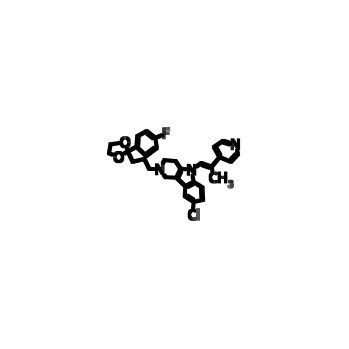 C/C(=C\n1c2c(c3cc(Cl)ccc31)CN(CCCC1(c3ccc(F)cc3)OCCO1)CC2)c1ccncc1